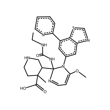 CCNC(=O)NC1(C2CNCCC2(C)C(=O)O)N=CC=C(OC)N1c1cc(-c2ccccn2)c2scnc2c1